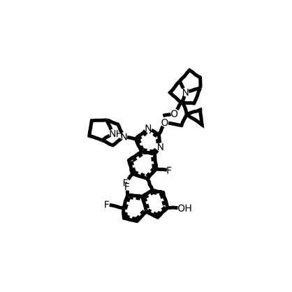 COC1CC2CCC(C1)N2CC1(COc2nc(N3CC4CCC(C3)N4)c3cc(F)c(-c4cc(O)cc5ccc(F)c(F)c45)c(F)c3n2)CC1